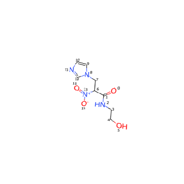 O=C(NCCO)C(Cn1ccnc1)[N+](=O)[O-]